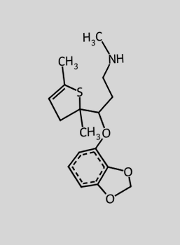 CNCCC(Oc1cccc2c1OCO2)C1(C)CC=C(C)S1